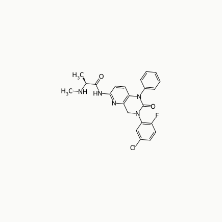 CN[C@@H](C)C(=O)Nc1ccc2c(n1)CN(c1cc(Cl)ccc1F)C(=O)N2c1ccccc1